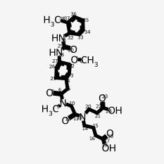 COc1cc(CC(=O)N(C)CC(=O)N(CCCC(=O)O)CCC(=O)O)ccc1NC(=O)Nc1ccccc1C